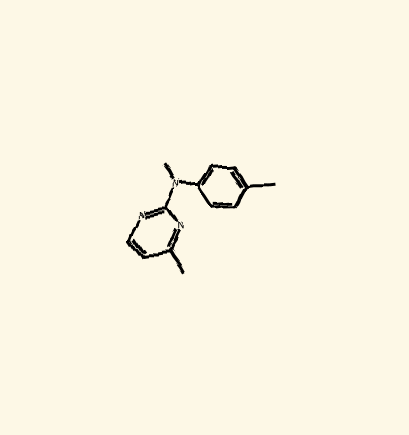 Cc1ccc(N(C)c2nccc(C)n2)cc1